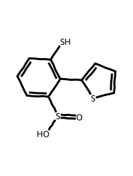 O=S(O)c1cccc(S)c1-c1cccs1